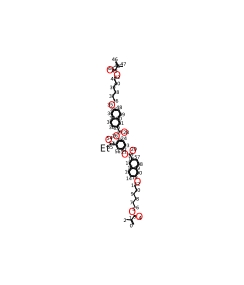 C=C(C)C(=O)OCCCCCCOc1ccc2cc(C(=O)Oc3ccc(OC(=O)c4ccc5cc(OCCCCCCOC(=O)C(=C)C)ccc5c4)c(C(=O)CC)c3)ccc2c1